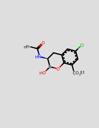 CCCC(=O)N[C@H]1Cc2cc(Cl)cc(C(=O)OCC)c2OB1O